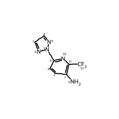 Nc1ccc(-n2nccn2)nc1C(F)(F)F